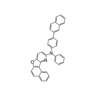 c1ccc(N(c2ccc(-c3ccc4ccccc4c3)cc2)c2ccc3oc4ccc5ccccc5c4c3n2)cc1